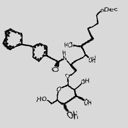 CCCCCCCCCCCCCCC(O)C(O)C(COC1OC(CO)C(O)C(O)C1O)NC(=O)c1ccc(-c2ccccc2)cc1